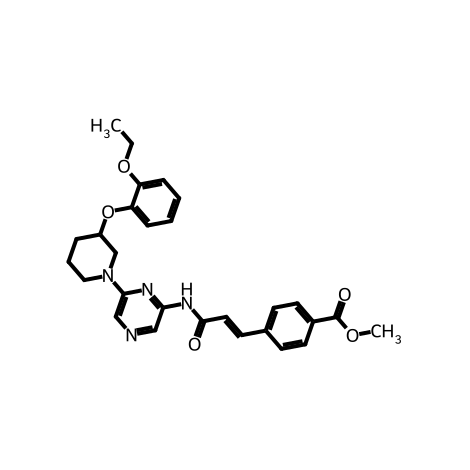 CCOc1ccccc1OC1CCCN(c2cncc(NC(=O)C=Cc3ccc(C(=O)OC)cc3)n2)C1